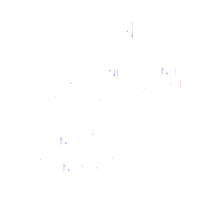 CSc1nc2ccccc2n1Cc1ccc(C(=O)NC2CNCC2C(=O)NO)cc1